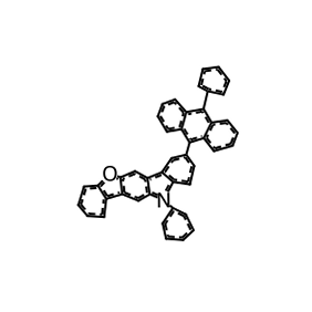 c1ccc(-c2c3ccccc3c(-c3ccc4c(c3)c3cc5oc6ccccc6c5cc3n4-c3ccccc3)c3ccccc23)cc1